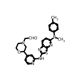 Cc1ccc(N(C)c2ccc3nc(Nc4cc(C5CN(CC=O)CCO5)ccn4)sc3n2)cc1